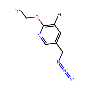 CCc1cc(CN=[N+]=[N-])cnc1OCC(F)(F)F